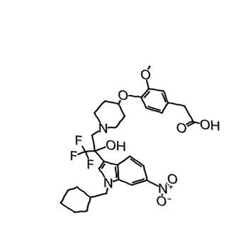 COc1cc(CC(=O)O)ccc1OC1CCN(CC(O)(c2cn(CC3CCCCC3)c3cc([N+](=O)[O-])ccc23)C(F)(F)F)CC1